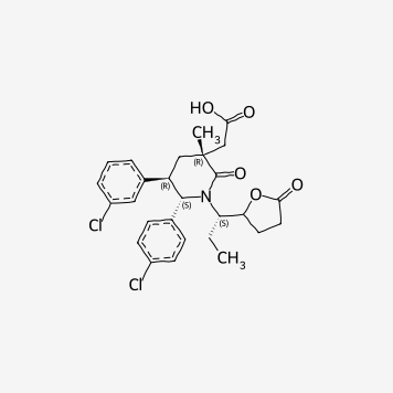 CC[C@@H](C1CCC(=O)O1)N1C(=O)[C@@](C)(CC(=O)O)C[C@H](c2cccc(Cl)c2)[C@H]1c1ccc(Cl)cc1